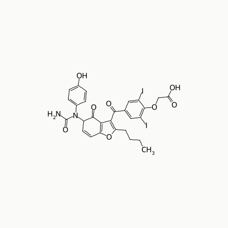 CCCCc1oc2c(c1C(=O)c1cc(I)c(OCC(=O)O)c(I)c1)C(=O)C(N(C(N)=O)c1ccc(O)cc1)C=C2